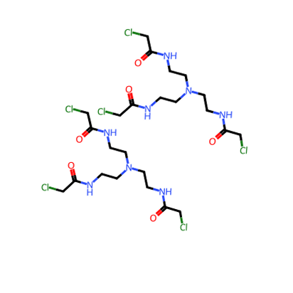 O=C(CCl)NCCN(CCNC(=O)CCl)CCNC(=O)CCl.O=C(CCl)NCCN(CCNC(=O)CCl)CCNC(=O)CCl